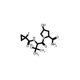 CC(C)(C)C(NC(=O)C1(F)CC1)C(=O)N1CC(O)CC1C(N)=O